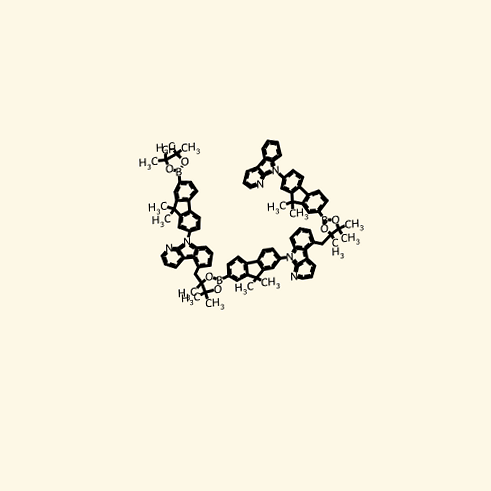 CC1(C)c2cc(B3OC(C)(C)C(C)(Cc4cccc5c4c4cccnc4n5-c4ccc5c(c4)C(C)(C)c4cc(B6OC(C)(C)C(C)(Cc7cccc8c7c7cccnc7n8-c7ccc8c(c7)C(C)(C)c7cc(B9OC(C)(C)C(C)(C)O9)ccc7-8)O6)ccc4-5)O3)ccc2-c2ccc(-n3c4ccccc4c4cccnc43)cc21